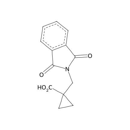 O=C1c2ccccc2C(=O)N1CC1(C(=O)O)CC1